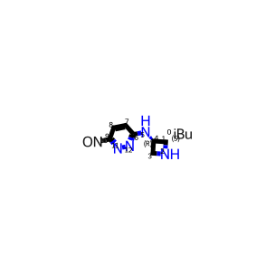 CC[C@H](C)C1NC[C@H]1Nc1ccc(N=O)nn1